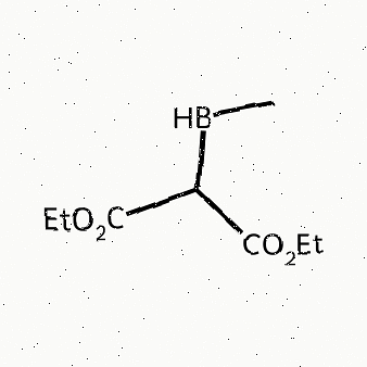 CBC(C(=O)OCC)C(=O)OCC